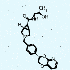 C[C@H](O)CNC(=O)[C@H]1C2CN(Cc3ccc([C@H]4COc5cccnc5O4)cc3)C[C@@H]21